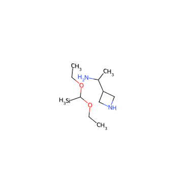 CC(N)C1CNC1.CCOC([SiH3])OCC